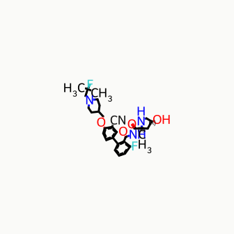 CC(C)(F)CN1CCC(COc2ccc(-c3cccc(F)c3C(=O)NC(=O)[C@@]3(C)C[C@@H](O)CN3)cc2C#N)CC1